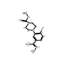 CC(C)(C)OC(=O)N1CCN(c2cc(/C(N)=N/O)ccc2F)CC1